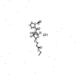 CCOC(=O)CCO[C@@H]1C[C@H]2C[C@@H]1N[C@H]2C(=O)N1CCC[C@H]1C#N.Cl